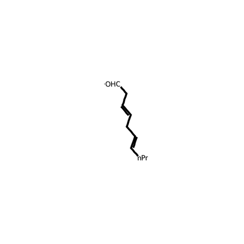 CCCC=CCC=CC[C]=O